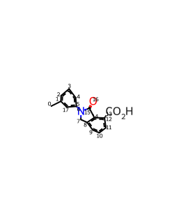 Cc1cccc(N2Cc3cccc(C(=O)O)c3C2=O)c1